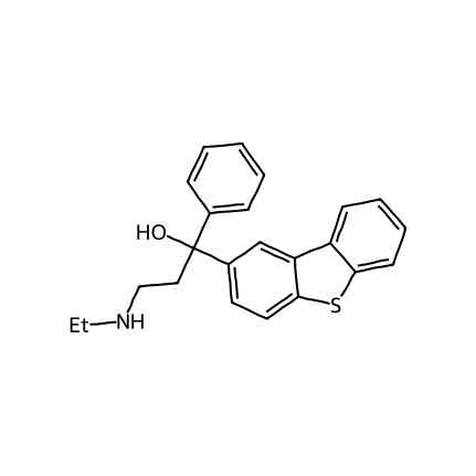 CCNCCC(O)(c1ccccc1)c1ccc2sc3ccccc3c2c1